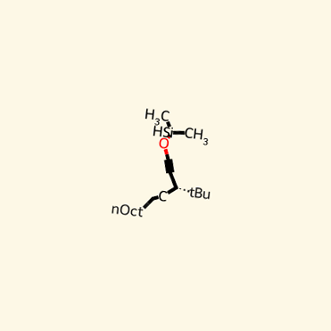 CCCCCCCCCC[C@H](C#CO[SiH](C)C)C(C)(C)C